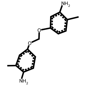 Cc1cc(OCOc2ccc(C)c(N)c2)ccc1N